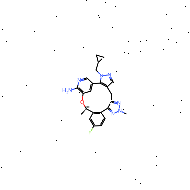 C[C@H]1Oc2cc(cnc2N)-c2c(cnn2CC2CC2)Cc2nn(C)nc2-c2ccc(F)cc21